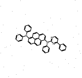 c1ccc(-c2ccnc(N(c3ccccc3)c3ccc4ccc5c(N(c6ccccc6)c6ccccc6)ccc6ccc3c4c65)n2)cc1